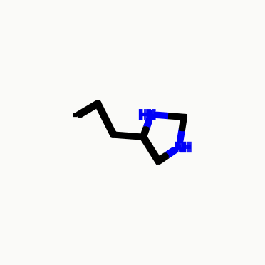 [CH2]CCC1CNCN1